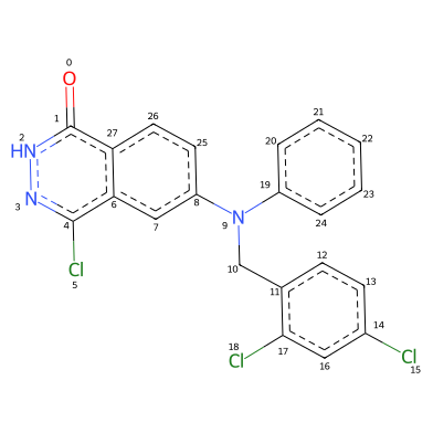 O=c1[nH]nc(Cl)c2cc(N(Cc3ccc(Cl)cc3Cl)c3ccccc3)ccc12